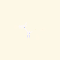 O=S1(=O)CC[NH+]([O-])N1